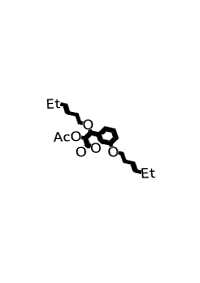 CCC=CCCOc1c(OC(C)=O)c(=O)oc2c(OCCC=CCC)cccc12